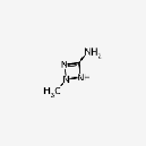 Cn1nc(N)[nH]1